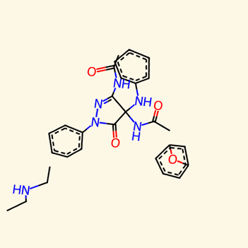 CC(=O)NC1=NN(c2ccccc2)C(=O)C1(NC(C)=O)Nc1ccccc1.CCNCC.c1cc2cc(c1)O2